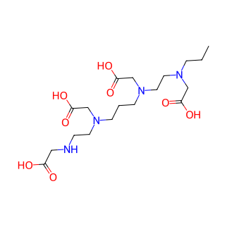 CCCN(CCN(CCCN(CCNCC(=O)O)CC(=O)O)CC(=O)O)CC(=O)O